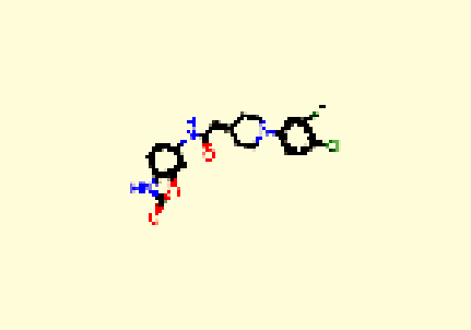 O=C(C=C1CCN(c2ccc(Cl)c(F)c2)CC1)Nc1ccc2[nH]c(=O)oc2c1